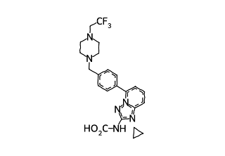 C1CC1.O=C(O)Nc1nc2cccc(-c3ccc(CN4CCN(CC(F)(F)F)CC4)cc3)n2n1